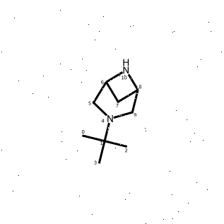 CC(C)(C)N1CC2CC(C1)N2